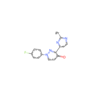 CC(C)c1nccc(-c2nn(-c3ccc(F)cc3)ccc2=O)n1